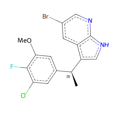 COc1cc([C@H](C)c2c[nH]c3ncc(Br)cc23)cc(Cl)c1F